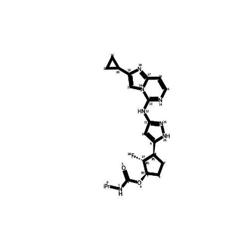 CC(C)NC(=O)O[C@@H]1CC[C@H](c2cc(Nc3nccc4nc(C5CC5)cn34)n[nH]2)[C@H]1F